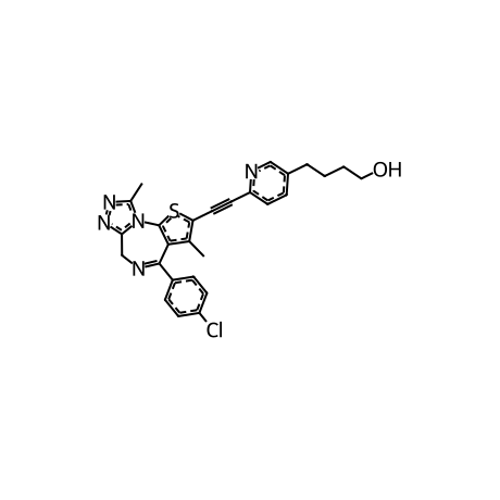 Cc1c(C#Cc2ccc(CCCCO)cn2)sc2c1C(c1ccc(Cl)cc1)=NCc1nnc(C)n1-2